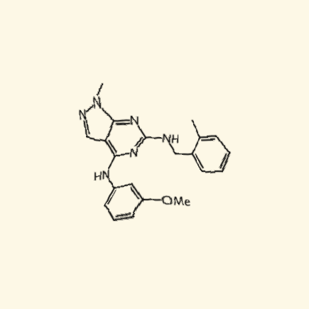 COc1cccc(Nc2nc(NCc3ccccc3C)nc3c2cnn3C)c1